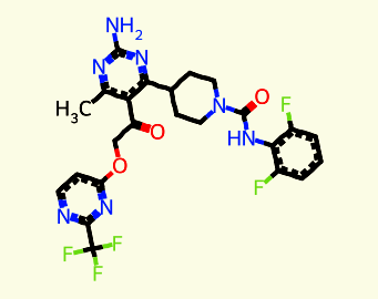 Cc1nc(N)nc(C2CCN(C(=O)Nc3c(F)cccc3F)CC2)c1C(=O)COc1ccnc(C(F)(F)F)n1